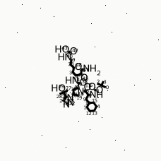 CC(C)(C)OC(=O)NC(CC1CCCCC1)C(=O)N1C[C@@H](n2nncc2C(C)(C)O)C[C@H]1C(=O)NC(CCCCNC(=O)O)C(=O)C(N)=O